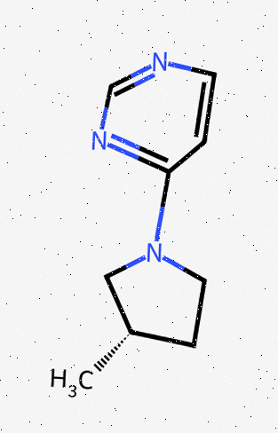 C[C@H]1CCN(c2ccncn2)C1